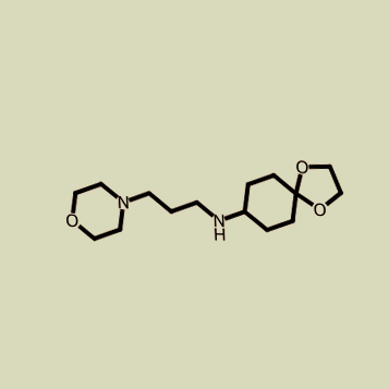 C(CNC1CCC2(CC1)OCCO2)CN1CCOCC1